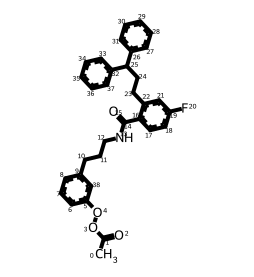 CC(=O)OOc1cccc(CCCNC(=O)c2ccc(F)cc2CCC(c2ccccc2)c2ccccc2)c1